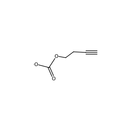 C#CCCOC([O])=O